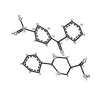 O=C(O)C1COC(c2ccccc2)OC1.O=C(c1ccccc1)c1ccc([N+](=O)[O-])cc1